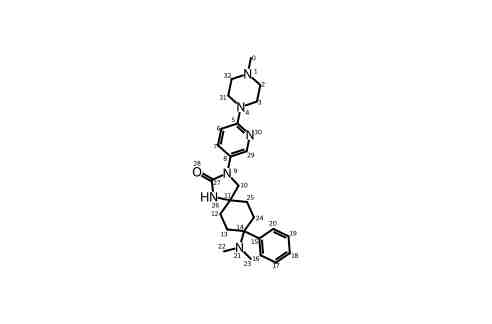 CN1CCN(c2ccc(N3CC4(CCC(c5ccccc5)(N(C)C)CC4)NC3=O)cn2)CC1